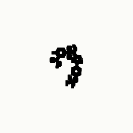 CCN(c1csc(-c2ccc(OC(F)(F)F)cc2)n1)S(=O)(=O)c1ccc(C)c(C(=O)OC)c1